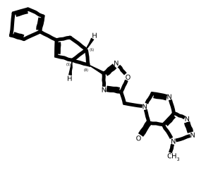 Cn1nnc2ncn(Cc3nc([C@H]4[C@@H]5C=C(c6ccccc6)C[C@@H]54)no3)c(=O)c21